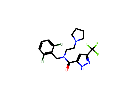 O=C(c1cc(C(F)(F)F)n[nH]1)N(CCN1CCCC1)Cc1c(Cl)cccc1Cl